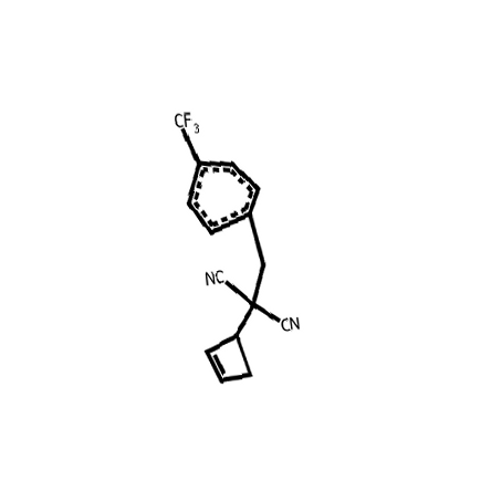 N#CC(C#N)(Cc1ccc(C(F)(F)F)cc1)C1C=CC1